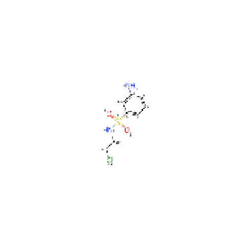 Nc1cccc(S(=O)(=O)NCCCl)c1